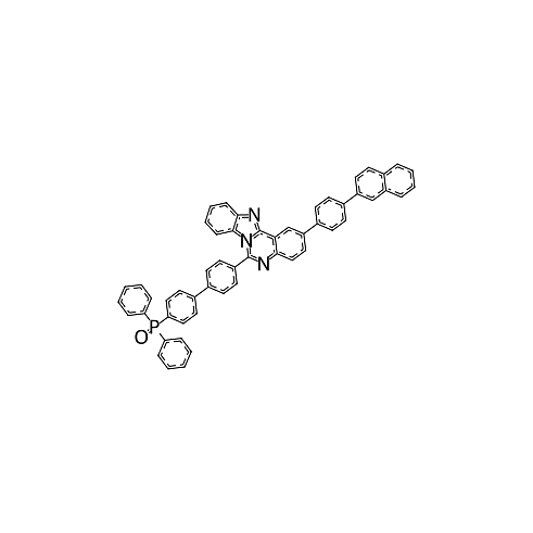 O=P(c1ccccc1)(c1ccccc1)c1ccc(-c2ccc(-c3nc4ccc(-c5ccc(-c6ccc7ccccc7c6)cc5)cc4c4nc5ccccc5n34)cc2)cc1